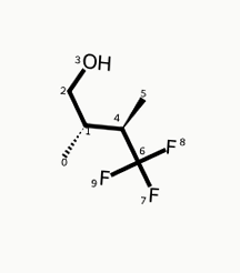 C[C@H](CO)[C@@H](C)C(F)(F)F